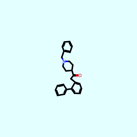 O=C(Cc1ccccc1-c1ccccc1)C1CCN(Cc2ccccc2)CC1